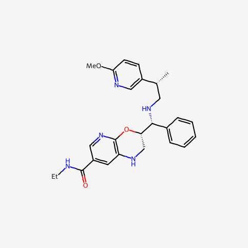 CCNC(=O)c1cnc2c(c1)NC[C@@H]([C@H](NC[C@@H](C)c1ccc(OC)nc1)c1ccccc1)O2